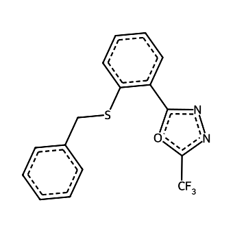 FC(F)(F)c1nnc(-c2ccccc2SCc2ccccc2)o1